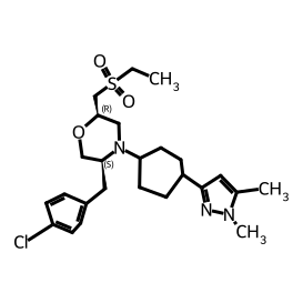 CCS(=O)(=O)C[C@H]1CN(C2CCC(c3cc(C)n(C)n3)CC2)[C@@H](Cc2ccc(Cl)cc2)CO1